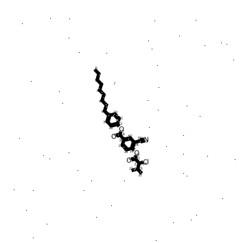 CCCCCCCCCc1ccc(OC(=O)c2ccc(OC(=O)C(Cl)C(C)C)c(C#N)c2)cc1